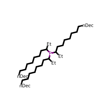 CCCCCCCCCCCCCCCCCC(CC)P(C(CC)CCCCCCCCCCCCCCCCC)C(CC)CCCCCCCCCCCCCCCCC